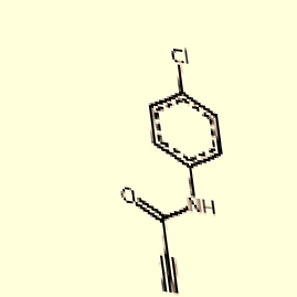 C#CC(=O)Nc1ccc(Cl)cc1